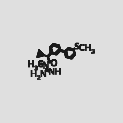 CSc1cccc(-c2cccc([C@@H](C(=O)N(C)C(=N)N)C3CC3)c2)c1